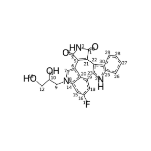 O=C1NC(=O)C(c2cn(CC(O)CO)c3cc(F)ccc23)=C1c1c[nH]c2ccccc12